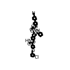 N#Cc1ccc(-c2ccc(C[C@H](NC(=O)C3Cc4cc5c(cc4CN3C(=O)c3ccccc3)OC(c3ccc(OCc4cccc(Cl)c4)cc3)C(=O)N5)C(=O)O)cc2)cc1